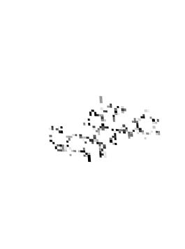 CCC1(C)OC[C@H]([C@@H](O)c2cc3c(cc2F)OCCO3)N1C(=O)OCc1ccccc1